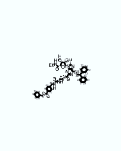 CCNC(=O)[C@H]1O[C@@H](n2cnc3c(NCC(c4ccccc4)c4ccccc4)nc(C(=O)NCCNC(=O)NCc4ccc(C(=O)OCc5ccccc5)cc4)nc32)[C@@H](O)[C@@H]1O